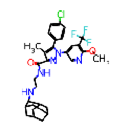 COc1ncc(-n2nc(C(=O)NCCNC3C4CC5CC(C4)CC3C5)c(C)c2-c2ccc(Cl)cc2)cc1C(F)(F)F